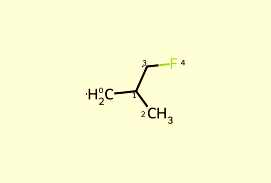 [CH2]C(C)[CH]F